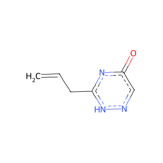 C=CCc1nc(=O)cn[nH]1